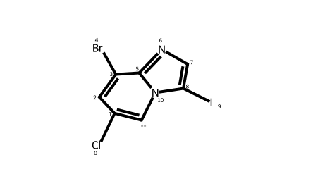 Clc1cc(Br)c2ncc(I)n2c1